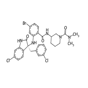 CN(C)C(=O)N1CCCC(NC(=O)c2ccc(Br)cc2N[C@]2(Cc3cccc(Cl)c3)C(=O)Nc3cc(Cl)ccc32)C1